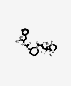 CC(C)(C=C(C#N)C(=O)N1CCCCC(OC(=O)NC(Cc2ccccc2)B(O)O)C1)C1(C)CNCCO1